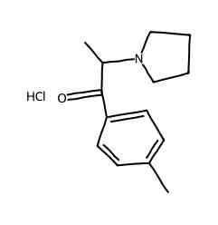 Cc1ccc(C(=O)C(C)N2CCCC2)cc1.Cl